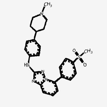 CN1CCC(c2ccc(Nc3nc4cccc(-c5ccc(S(C)(=O)=O)cc5)n4n3)cc2)CC1